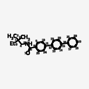 CCC(C)(C)CNC(=O)c1ccc(-c2ccc(-c3ccccc3)cc2)cc1